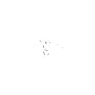 CCCCn1c(=O)c2c(nc(OCCOC(C)C)n2Cc2ccc(Cl)cc2)n(C)c1=O